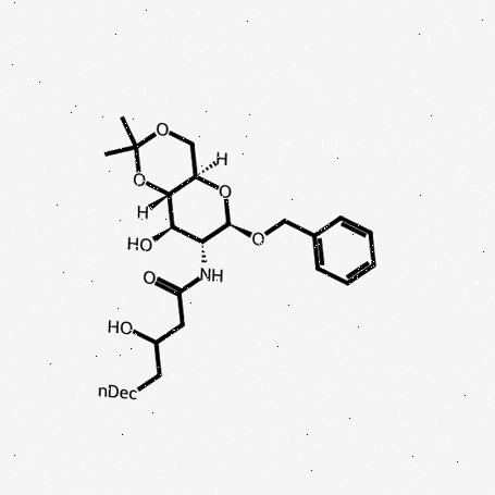 CCCCCCCCCCCC(O)CC(=O)N[C@H]1[C@H](OCc2ccccc2)O[C@@H]2COC(C)(C)O[C@H]2[C@@H]1O